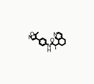 Cc1oncc1-c1ccc(NC(=O)[C@H](C)C2CCCc3ccncc32)cc1